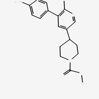 CC(C)(C)OC(=O)N1CCC(c2cnc(N)c(-c3ccc(N)cc3)c2)CC1